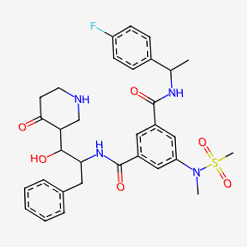 CC(NC(=O)c1cc(C(=O)NC(Cc2ccccc2)C(O)C2CNCCC2=O)cc(N(C)S(C)(=O)=O)c1)c1ccc(F)cc1